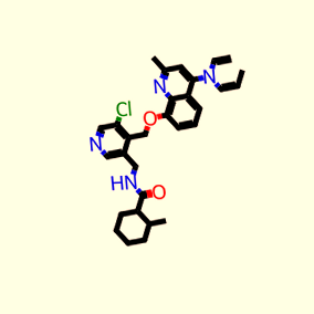 C=CN(/C=C\C)c1cc(C)nc2c(OCc3c(Cl)cncc3CNC(=O)C3CCCCC3C)cccc12